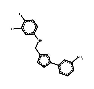 Nc1cccc(-c2ccc(CNc3ccc(F)c(Cl)c3)o2)c1